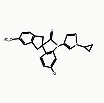 O=C(O)c1ccc2c(c1)CC1(C2)C(=O)N(c2cnn(C3CC3)c2)c2cc(Cl)ccc21